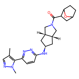 Cc1cnn(C)c1-c1ccc(N[C@H]2C[C@@H]3CN(C(=O)C4CC5CCC4O5)C[C@@H]3C2)nn1